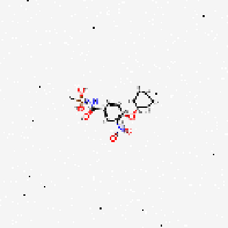 CS(=O)(=O)NC(=O)c1ccc(OC2CCCCC2)c([N+](=O)[O-])c1